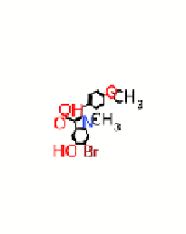 COc1ccc(Cc2c(C(=O)O)c3cc(O)c(Br)cc3n2C)cc1